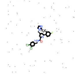 Cc1cc(F)ccc1-c1cc(Cn2ccnc2C)cc(C(=O)NCc2ccc(Cl)c(Cl)c2)n1